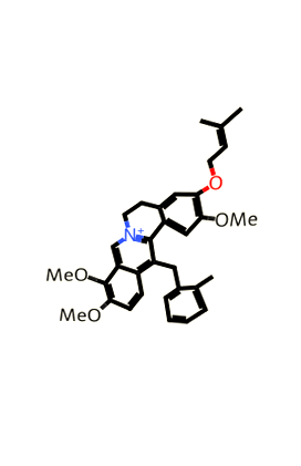 COc1cc2c(cc1OCC=C(C)C)CC[n+]1cc3c(OC)c(OC)ccc3c(Cc3ccccc3C)c1-2